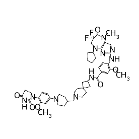 COc1cc(C(=O)NC2CC3(CCN(CC4CCN(c5ccc(N6CCC(=O)NC6=O)c(OC)c5)CC4)CC3)C2)ccc1Nc1ncc2c(n1)N(C1CCCC1)CC(F)(F)C(=O)N2C